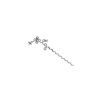 CCCCCCCCCCCCC/C=C/C=C/C(=O)OC[C@@H](O)COP(=O)([O-])OCC[N+](C)(C)C